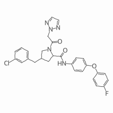 O=C(Nc1ccc(Oc2ccc(F)cc2)cc1)C1CC(Cc2cccc(Cl)c2)CN1C(=O)Cn1nccn1